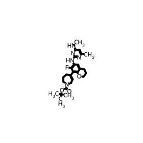 CNc1cc(C)nc(Nc2cc3c(c(C4=CCN(C(=O)OC(C)(C)C)CCC4)c2F)OCCC3)n1